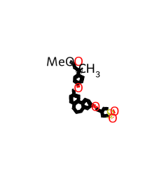 COC(=O)C[C@@H](C)c1ccc(OCc2ccc3c(c2)-c2ccc(OCC4CCS(=O)(=O)CC4)cc2CCC3)cc1